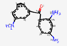 Nc1cccc(C(=O)c2ccc(N)cc2N)c1